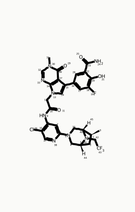 C[C@H]1C[C@@H]2CN(c3cc(NC(=O)Cn4cc(-c5cc(F)c(O)c(C(N)=O)c5)c5c(=O)n(C)cnc54)c(Cl)cn3)C[C@H]1N2CC(F)(F)F